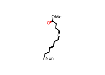 CCCCCCCCCCCC=CCC=C=CCCC(=O)OC